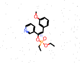 CCOP(=O)(CC)O/C(=C/c1cccc(OC)c1)c1cccnc1